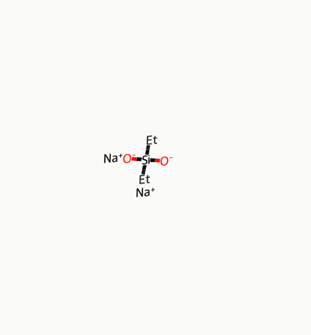 CC[Si]([O-])([O-])CC.[Na+].[Na+]